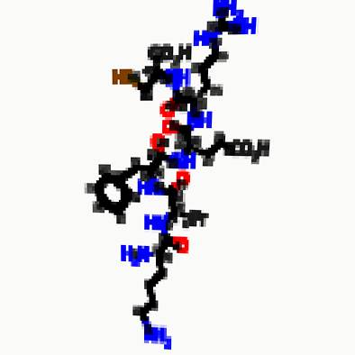 CC(C)[C@H](NC(=O)[C@@H](N)CCCCN)C(=O)N[C@@H](Cc1ccccc1)C(=O)N[C@@H](CCC(=O)O)C(=O)N[C@@H](CCCNC(=N)N)C(=O)N[C@@H](CS)C(=O)O